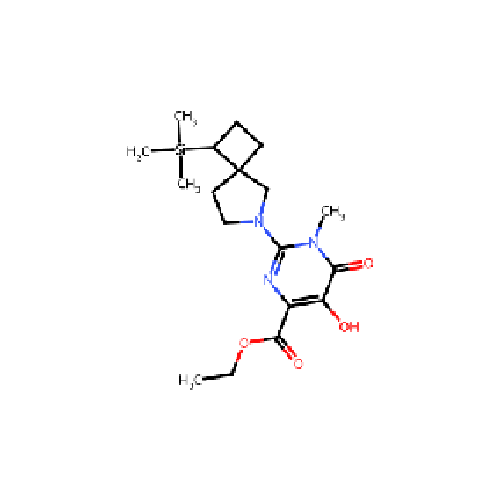 CCOC(=O)c1nc(N2CCC3(CCC3[Si](C)(C)C)C2)n(C)c(=O)c1O